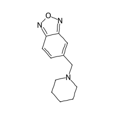 c1cc2nonc2cc1CN1CCCCC1